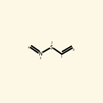 C=CSN=C